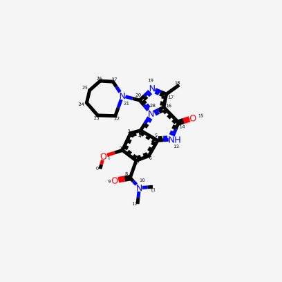 COc1cc2c(cc1C(=O)N(C)C)[nH]c(=O)c1c(C)nc(N3CCCCCC3)n12